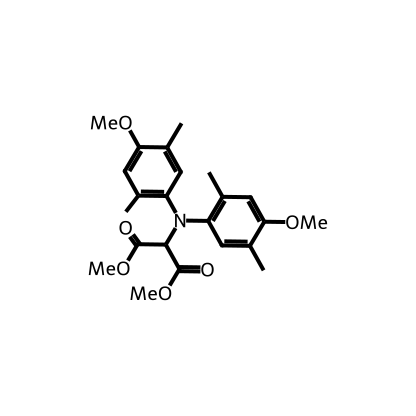 COC(=O)C(C(=O)OC)N(c1cc(C)c(OC)cc1C)c1cc(C)c(OC)cc1C